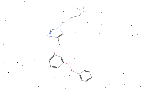 C[Si](C)(C)CCOCn1cnc(COc2cc(F)cc(OCc3ccccc3)c2)c1